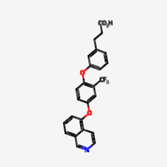 O=C(O)CCc1cccc(Oc2ccc(Oc3cccc4cnccc34)cc2C(F)(F)F)c1